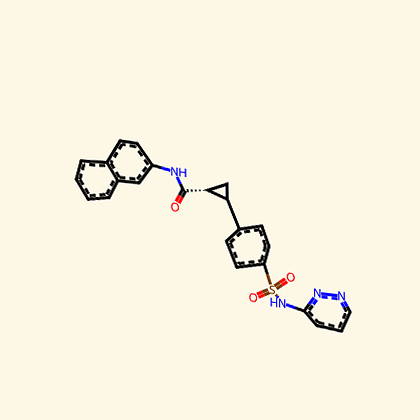 O=C(Nc1ccc2ccccc2c1)[C@@H]1CC1c1ccc(S(=O)(=O)Nc2cccnn2)cc1